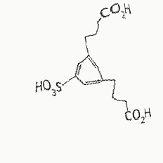 O=C(O)CCCc1cc(CCCC(=O)O)cc(S(=O)(=O)O)c1